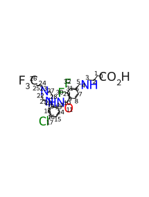 O=C(O)CCCNCc1ccc(C(=O)Nc2ccc(Cl)cc2N2CCN(CCC(F)(F)F)CC2)c(F)c1F